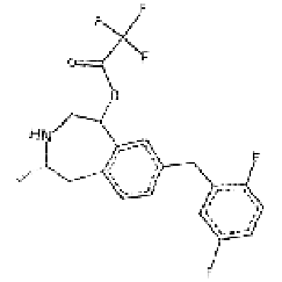 C[C@H]1Cc2ccc(Cc3cc(F)ccc3F)cc2C(OC(=O)C(F)(F)F)CN1